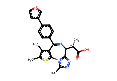 Cc1sc2c(c1C)C(c1ccc(-c3ccoc3)cc1)=NC([C@H](C)C(=O)O)c1nnc(C)n1-2